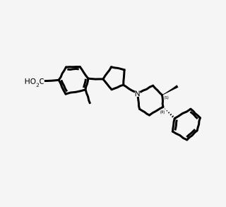 Cc1cc(C(=O)O)ccc1C1CCC(N2CC[C@@H](c3ccccc3)[C@H](C)C2)C1